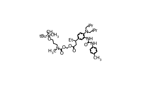 CCC(CC(=O)OCOC(=O)N(C)CCCO[Si](C)(C)C(C)(C)C)c1ccc(N(CC(C)C)CC(C)C)c(NC(=O)Nc2ccc(C)cc2)c1